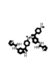 CNC1CC=C(c2cn(N(C)C3CCC(c4c[nH]c5ccc(NC(=N)c6cccs6)cc45)CC3)c3ccc(NC(=N)c4cccs4)cc23)CC1